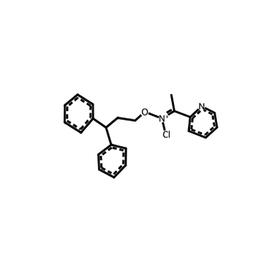 CC(c1ccccn1)=[N+](Cl)OCCC(c1ccccc1)c1ccccc1